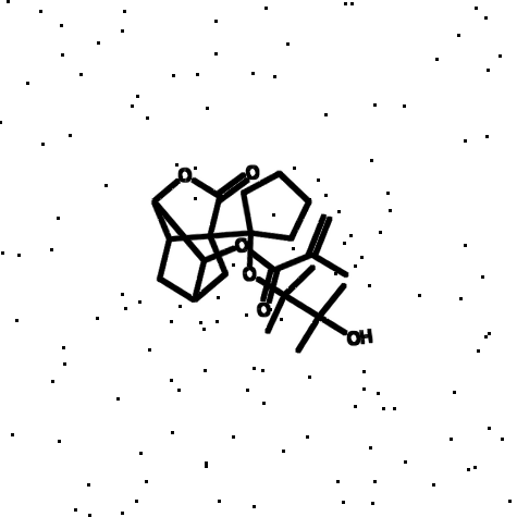 C=C(C)C(=O)OC1C2CC3C1OC(=O)C3(C1(OC(C)(C)C(C)(C)O)CCCC1)C2